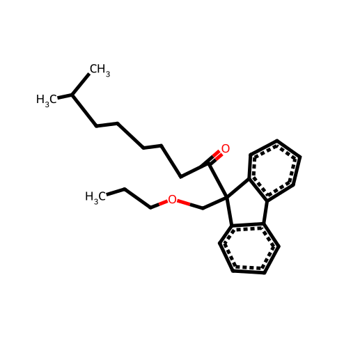 CCCOCC1(C(=O)CCCCCC(C)C)c2ccccc2-c2ccccc21